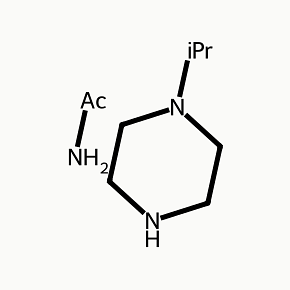 CC(C)N1CCNCC1.CC(N)=O